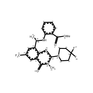 COC(=O)c1ccccc1N[C@H](C)c1cc(C(F)(F)F)cc2c(=O)n(C)c(N3CCC(F)(F)CC3)nc12